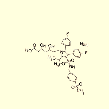 CC(C)c1c(S(=O)(=O)NCc2ccc(S(C)(=O)=O)cc2)c(-c2ccc(F)cc2)c(-c2ccc(F)cc2)n1CCC(O)CC(O)CC(=O)O.[NaH]